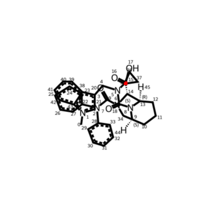 Cn1cc(CN(C(=O)N2[C@H]3CCC[C@@H]2[C@@H](C(=O)O)N(C(=O)N(c2ccccc2)c2ccccc2)C3)C2CC2)c2ccccc21